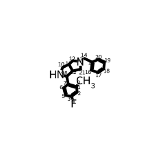 Cc1cc(F)ccc1C1NCC2CN(Cc3ccccc3)CC21